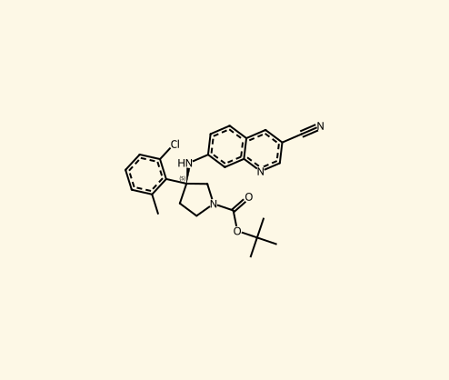 Cc1cccc(Cl)c1[C@@]1(Nc2ccc3cc(C#N)cnc3c2)CCN(C(=O)OC(C)(C)C)C1